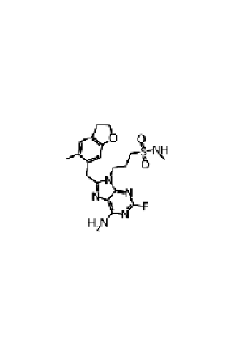 CNS(=O)(=O)CCCn1c(Cc2cc3c(cc2C)CCO3)nc2c(N)nc(F)nc21